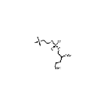 CCCCCCCCCCCCC(COP(=O)([O-])OCC[N+](C)(C)C)OC(C)=O